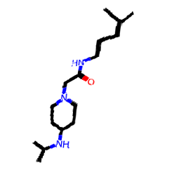 CC(C)CCCNC(=O)CN1CCC(NC(C)C)CC1